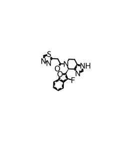 O=C(Cc1nncs1)N1CCc2[nH]cnc2[C@H]1c1oc2ccccc2c1F